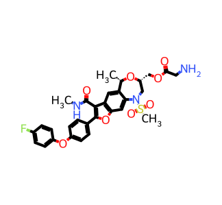 CNC(=O)c1c(-c2ccc(Oc3ccc(F)cc3)cc2)oc2cc3c(cc12)[C@H](C)O[C@H](COC(=O)CN)CN3S(C)(=O)=O